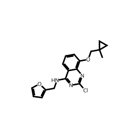 CC1(COc2cccc3c(NCc4ccco4)nc(Cl)nc23)CC1